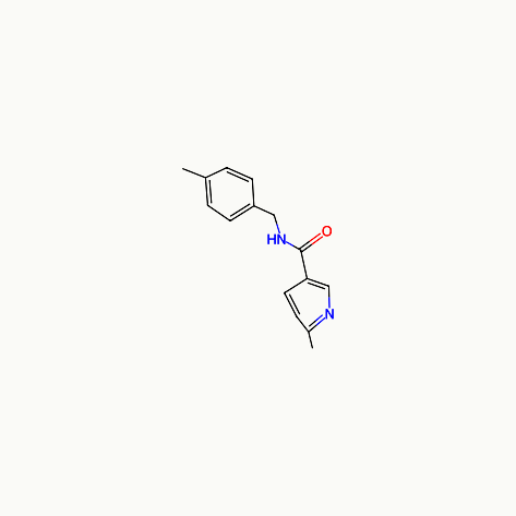 Cc1ccc(CNC(=O)c2ccc(C)nc2)cc1